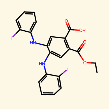 CCOC(=O)c1cc(Nc2ccccc2I)c(Nc2ccccc2I)cc1C(=O)O